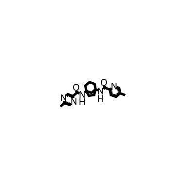 Cc1ccc(C(=O)NC23CCCC(NC(=O)c4cnc(C)cn4)(CC2)C3)nc1